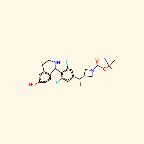 CC(c1cc(F)c(C2NCCc3cc(O)ccc32)c(F)c1)C1CN(C(=O)OC(C)(C)C)C1